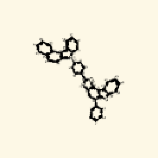 c1ccc(-c2cc3nc(-c4ccc(-n5c6ccccc6c6c7ccccc7ccc65)cc4)oc3c3c2oc2ccccc23)cc1